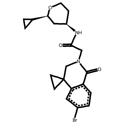 O=C(CN1CC2(CC2)c2cc(Br)ccc2C1=O)N[C@@H]1CCO[C@H](C2CC2)C1